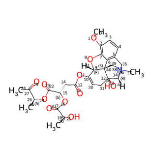 COc1ccc2c3c1O[C@H]1C(OC(=O)C[C@H](OC(=O)[C@H](C)O)C(=O)O[C@@H](C)C(C)=O)=CC[C@@]4(O)[C@@H](C2)N(C)CC[C@]314